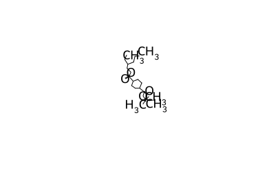 CCCCC(CC)COC(=O)C1CCC(C(=O)OC(C)(C)C)CC1